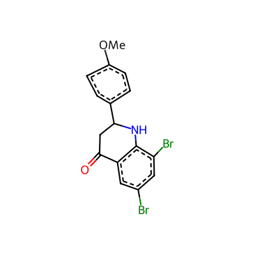 COc1ccc(C2CC(=O)c3cc(Br)cc(Br)c3N2)cc1